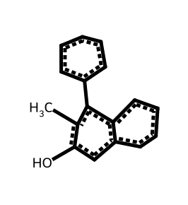 Cc1c(O)cc2ccccc2c1-c1ccccc1